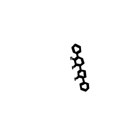 Fc1cc(-c2ccc(-c3ccccc3)c(F)c2F)ccc1-c1ccccc1